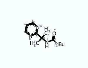 CC[C@H](C)C(=O)NC(C)(C)c1ncccn1